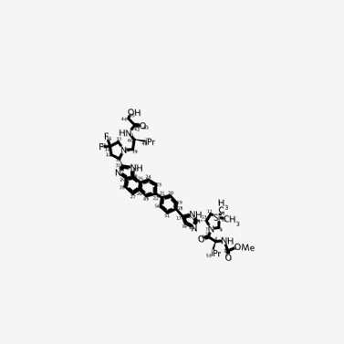 COC(=O)N[C@H](C(=O)N1C[Si](C)(C)C[C@H]1c1ncc(-c2ccc(-c3ccc4c(ccc5nc([C@@H]6CC(F)(F)CN6C[C@@H](NC(=O)CO)C(C)C)[nH]c54)c3)cc2)[nH]1)C(C)C